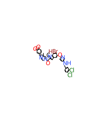 Br.Cn1c(C(=O)N2CCN(Cc3ccc4c(c3)OCO4)CC2)cc2cc(Oc3ccc(NCc4ccc(Cl)c(Cl)c4)cn3)ccc21